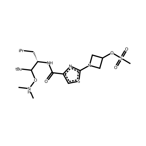 CC(C)C[C@H](NC(=O)c1csc(N2CC(OS(C)(=O)=O)C2)n1)C(O[SiH](C)C)C(C)(C)C